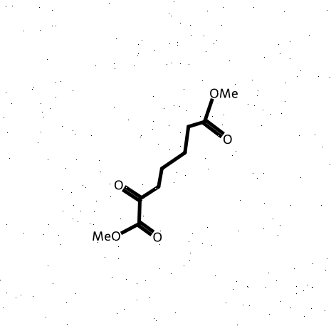 COC(=O)CCCCC(=O)C(=O)OC